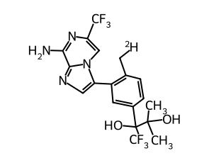 [2H]Cc1ccc(C(O)(C(C)(C)O)C(F)(F)F)cc1-c1cnc2c(N)nc(C(F)(F)F)cn12